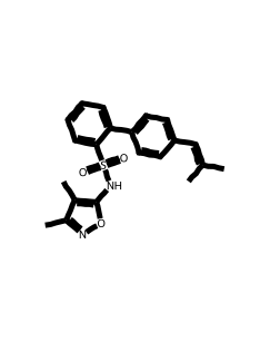 CC(C)=Cc1ccc(-c2ccccc2S(=O)(=O)Nc2onc(C)c2C)cc1